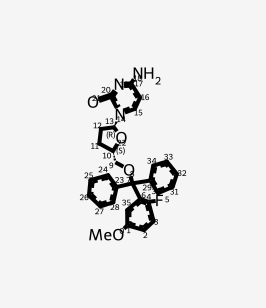 COc1ccc(F)c(C(OC[C@@H]2CC[C@H](n3ccc(N)nc3=O)O2)(c2ccccc2)c2ccccc2)c1